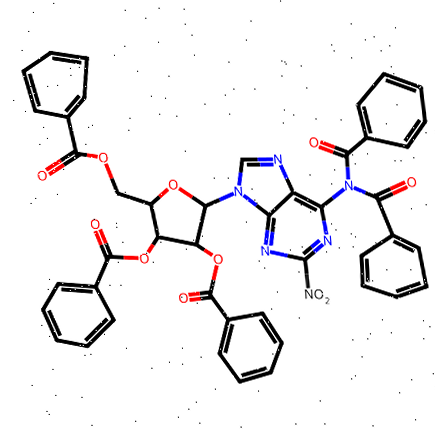 O=C(OCC1OC(n2cnc3c(N(C(=O)c4ccccc4)C(=O)c4ccccc4)nc([N+](=O)[O-])nc32)C(OC(=O)c2ccccc2)C1OC(=O)c1ccccc1)c1ccccc1